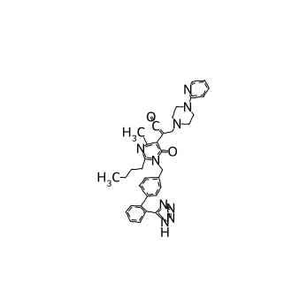 CCCCc1nc(C)c(C(=C=O)CN2CCN(c3ccccn3)CC2)c(=O)n1Cc1ccc(-c2ccccc2-c2nnn[nH]2)cc1